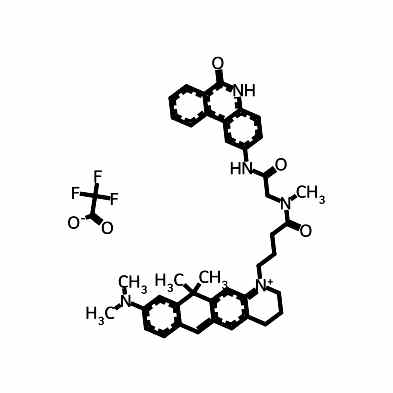 CN(CC(=O)Nc1ccc2[nH]c(=O)c3ccccc3c2c1)C(=O)CCC[N+]1=c2cc3c(cc2CCC1)=Cc1ccc(N(C)C)cc1C3(C)C.O=C([O-])C(F)(F)F